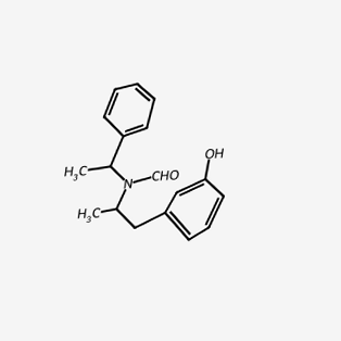 CC(Cc1cccc(O)c1)N(C=O)C(C)c1ccccc1